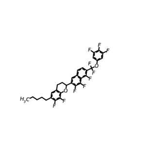 CCCCCc1cc2c(c(F)c1F)OC(c1cc3ccc(C(F)(F)Oc4cc(F)c(F)c(F)c4)c(F)c3c(F)c1F)CC2